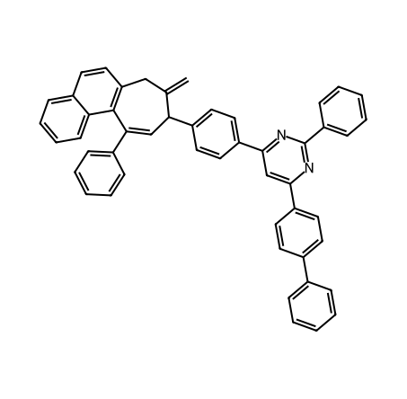 C=C1Cc2ccc3ccccc3c2C(c2ccccc2)=CC1c1ccc(-c2cc(-c3ccc(-c4ccccc4)cc3)nc(-c3ccccc3)n2)cc1